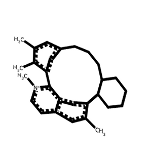 Cc1cc2cc[n+](C)c3c2cc1C1CCCCC1CCCc1cc(C)c(C)c-3c1